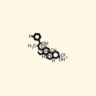 C[C@H]([C@H](O)c1cccc(F)c1)[C@H]1CC[C@H]2[C@@H]3CC[C@@H]4C[C@@](O)(C(F)(F)F)CC[C@]4(C)[C@H]3CC[C@]12C